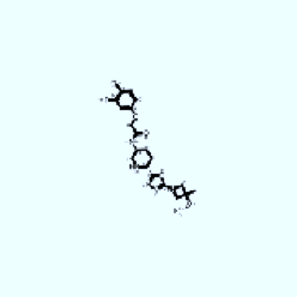 CC1(OC(F)(F)F)CN(c2nnc([C@H]3CC[C@H](NC(=O)COc4ccc(Cl)c(F)c4)CN3)o2)C1